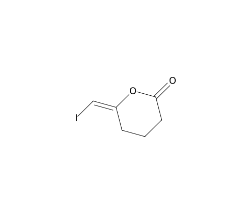 O=C1CCC/C(=C\I)O1